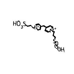 O=S(=O)(O)CCC[n+]1ccc(Cc2cc[n+](CCCSOOO)cc2)cc1